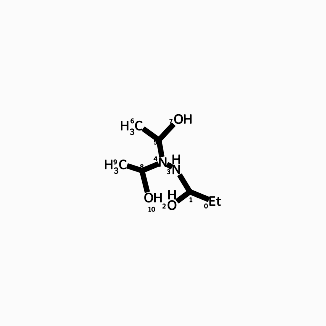 CCC(O)NN(C(C)O)C(C)O